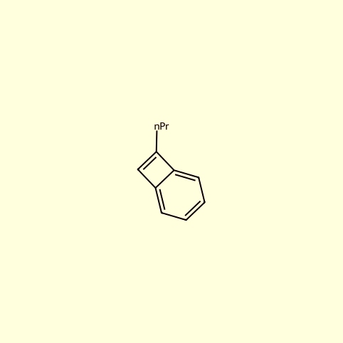 CCCC1=Cc2ccccc21